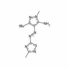 Cc1nsc(/N=N/c2c(C(C)(C)C)nn(C)c2N)n1